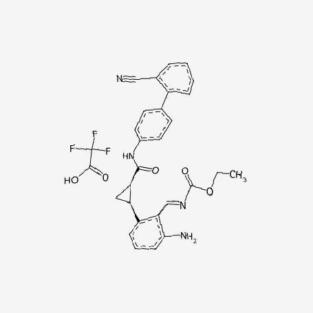 CCOC(=O)N=Cc1c(N)cccc1[C@H]1C[C@H]1C(=O)Nc1ccc(-c2ccccc2C#N)cc1.O=C(O)C(F)(F)F